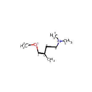 COCC(C)CCN(C)C